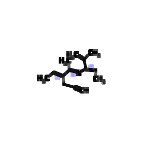 C#CCC(=C\C)/C(C)=N/C(=C\C)C(=C)C